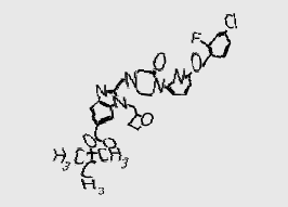 CC(C)(C)OC(=O)c1ccc2nc(CN3CCN(c4cccc(OCc5ccc(Cl)cc5F)n4)C(=O)C3)n(CC3CCO3)c2c1